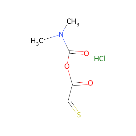 CN(C)C(=O)OC(=O)C=S.Cl